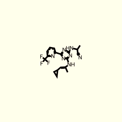 CC(=CC1CC1)Nc1nc(NC(C)C#N)nc(-c2cccc(C(F)(F)F)n2)n1